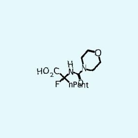 CCCCCC(F)(NC(=O)N1CCOCC1)C(=O)O